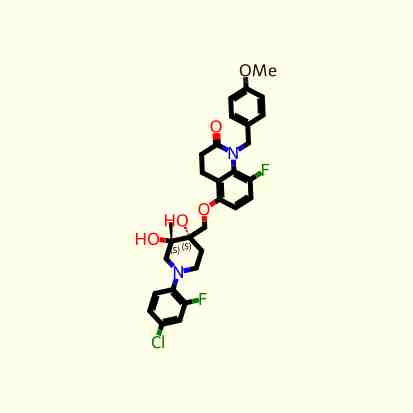 COc1ccc(CN2C(=O)CCc3c(OC[C@@]4(O)CCN(c5ccc(Cl)cc5F)C[C@]4(C)O)ccc(F)c32)cc1